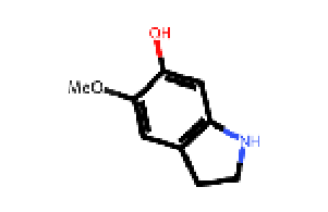 COc1cc2c(cc1O)NCC2